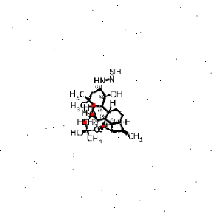 C=C1C2C(=O)[C@]34[C@H]2[C@H]1CC[C@H]3[C@@]12CO[C@]4(OC(C)(C)O)[C@@H](O)[C@@H]1C(C)(C)C[C@H](NN=N)[C@H]2O